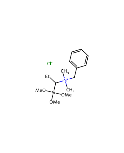 CCC([N+](C)(C)Cc1ccccc1)[Si](OC)(OC)OC.[Cl-]